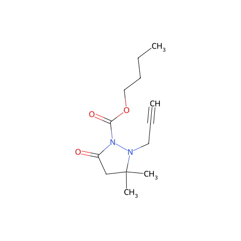 C#CCN1N(C(=O)OCCCC)C(=O)CC1(C)C